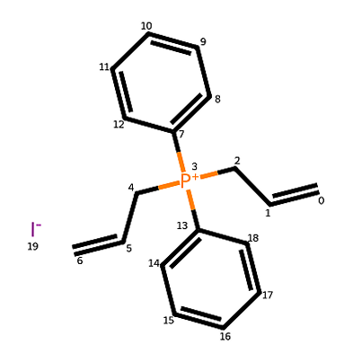 C=CC[P+](CC=C)(c1ccccc1)c1ccccc1.[I-]